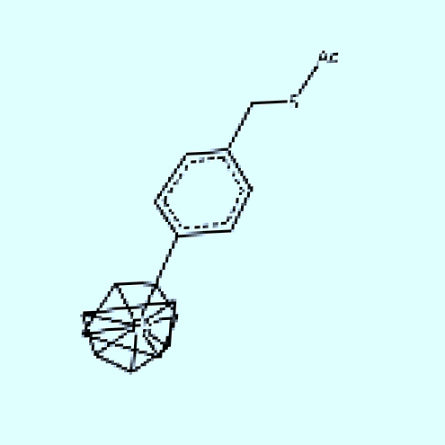 CC(=O)SCc1ccc([C]23[CH]4[CH]5[CH]6[CH]2[Fe]56432789[CH]3[CH]2[CH]7[CH]8[CH]39)cc1